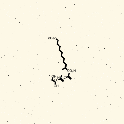 C=C(C)C(=O)O.C=C(C)C(=O)O.CCCCCCCCCCCCCCCCCCC=C(C)C(=O)O.OCCO